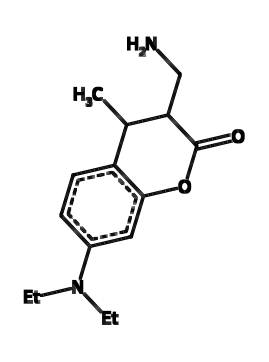 CCN(CC)c1ccc2c(c1)OC(=O)C(CN)C2C